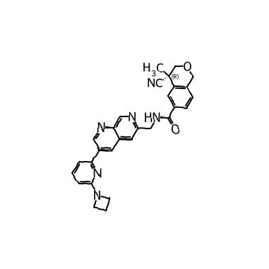 C[C@@]1(C#N)COCc2ccc(C(=O)NCc3cc4cc(-c5cccc(N6CCC6)n5)cnc4cn3)cc21